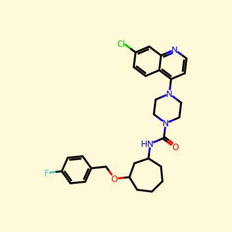 O=C(NC1CCCCC(OCc2ccc(F)cc2)C1)N1CCN(c2ccnc3cc(Cl)ccc23)CC1